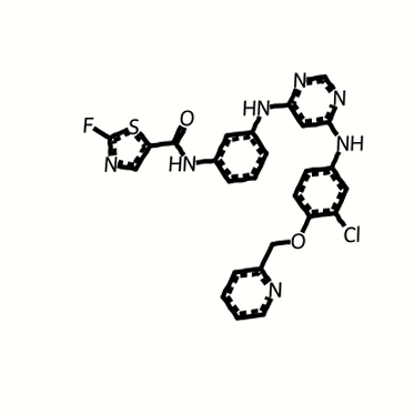 O=C(Nc1cccc(Nc2cc(Nc3ccc(OCc4ccccn4)c(Cl)c3)ncn2)c1)c1cnc(F)s1